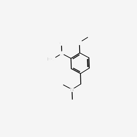 COc1ccc(CN(C)C)cc1B(O)O